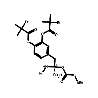 CCCCOC(=O)O[C@](Cc1ccc(OC(=O)C(C)(C)CC)c(OC(=O)C(C)(C)CC)c1)(NC(C)C)C(=O)O